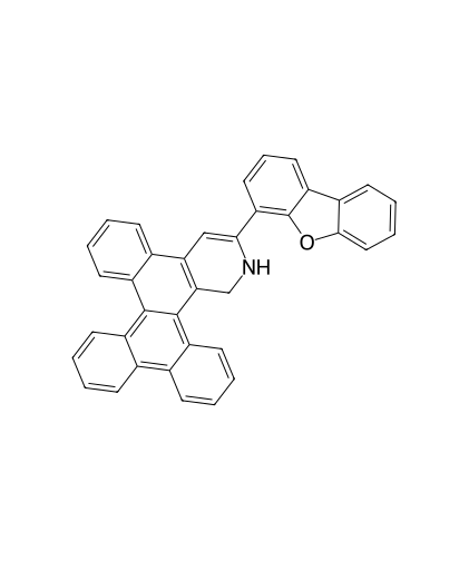 C1=C(c2cccc3c2oc2ccccc23)NCc2c1c1ccccc1c1c3ccccc3c3ccccc3c21